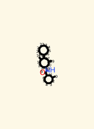 CC1CCCCCC(C(=O)NC2CCCC(C)C(C3CCCCCCCC3)CC(C)C2)C1